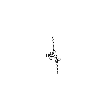 CCCCCCCCCCOC(=O)c1ccc(C(=O)OCCCCCCCC)cc1C(=O)O